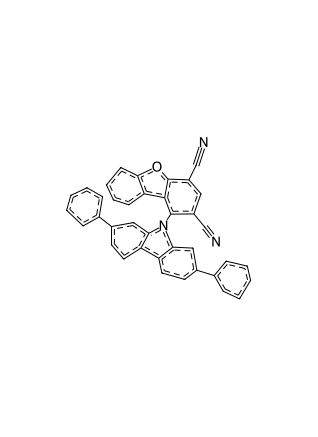 N#Cc1cc(C#N)c2oc3ccccc3c2c1-n1c2cc(-c3ccccc3)ccc2c2ccc(-c3ccccc3)cc21